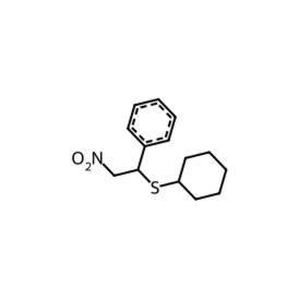 O=[N+]([O-])CC(SC1CCCCC1)c1ccccc1